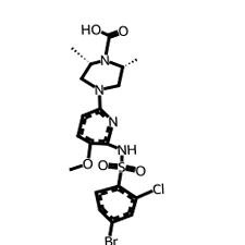 COc1ccc(N2C[C@@H](C)N(C(=O)O)[C@@H](C)C2)nc1NS(=O)(=O)c1ccc(Br)cc1Cl